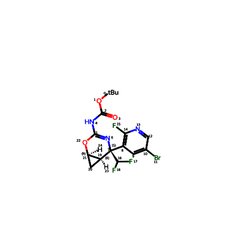 CC(C)(C)OC(=O)NC1=N[C@@](c2cc(Br)cnc2F)(C(F)F)[C@H]2C[C@H]2O1